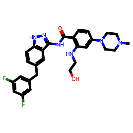 CN1CCN(c2ccc(C(=O)Nc3n[nH]c4ccc(Cc5cc(F)cc(F)c5)cc34)c(NCCO)c2)CC1